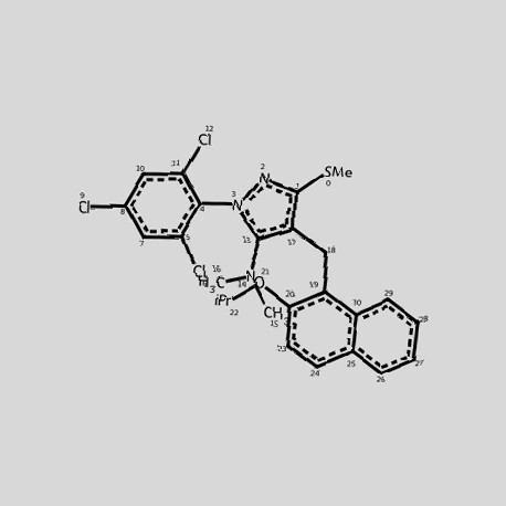 CSc1nn(-c2c(Cl)cc(Cl)cc2Cl)c(N(C)C)c1Cc1c(OC(C)C)ccc2ccccc12